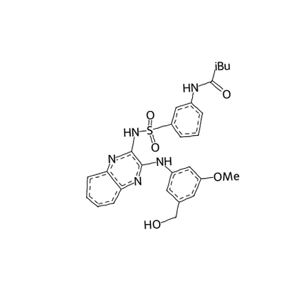 CCC(C)C(=O)Nc1cccc(S(=O)(=O)Nc2nc3ccccc3nc2Nc2cc(CO)cc(OC)c2)c1